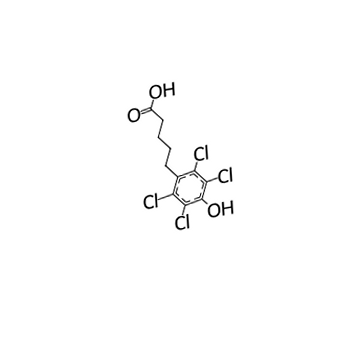 O=C(O)CCCCc1c(Cl)c(Cl)c(O)c(Cl)c1Cl